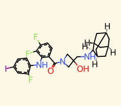 O=C(c1ccc(F)c(F)c1Nc1ccc(I)cc1F)N1CC(O)(CN[C@H]2[C@H]3C[C@H]4C[C@H](C3)C[C@H]2C4)C1